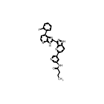 CCCC(=O)Nc1cncc(-c2ccc3[nH]nc(-c4nc5c(-c6ccccc6F)ccnc5[nH]4)c3n2)c1